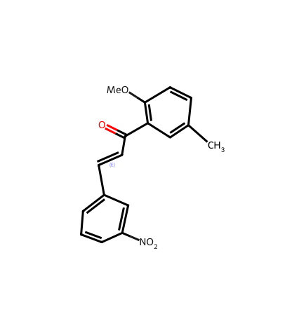 COc1ccc(C)cc1C(=O)/C=C/c1cccc([N+](=O)[O-])c1